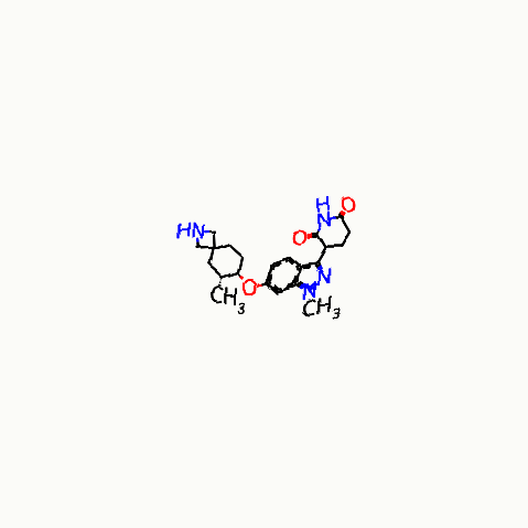 C[C@@H]1CC2(CC[C@H]1Oc1ccc3c(C4CCC(=O)NC4=O)nn(C)c3c1)CNC2